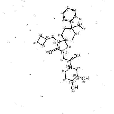 CN(C)[C@]1(c2ccccc2)CC[C@@]2(CC1)CN(CC(=O)N1CC[C@H](O)[C@@H](O)C1)C(=O)N2CC1CCC1